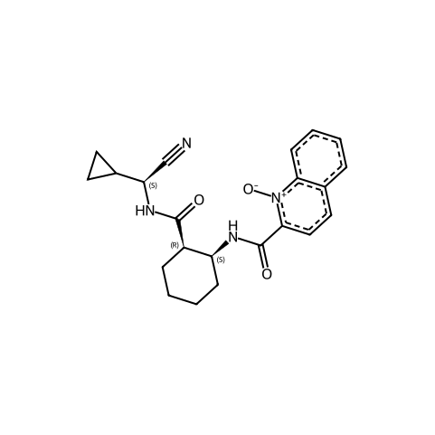 N#C[C@@H](NC(=O)[C@@H]1CCCC[C@@H]1NC(=O)c1ccc2ccccc2[n+]1[O-])C1CC1